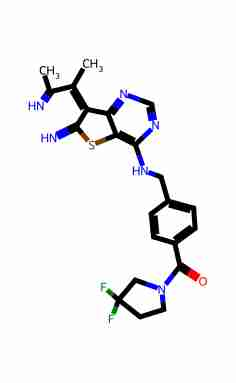 CC(=N)/C(C)=C1\C(=N)Sc2c(NCc3ccc(C(=O)N4CCC(F)(F)C4)cc3)ncnc21